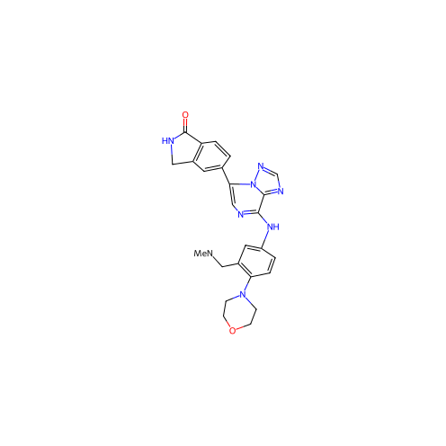 CNCc1cc(Nc2ncc(-c3ccc4c(c3)CNC4=O)n3ncnc23)ccc1N1CCOCC1